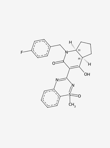 CS1(=O)=NC(C2=C(O)[C@@H]3CCC[C@@H]3N(Cc3ccc(F)cc3)C2=O)=Nc2ccccc21